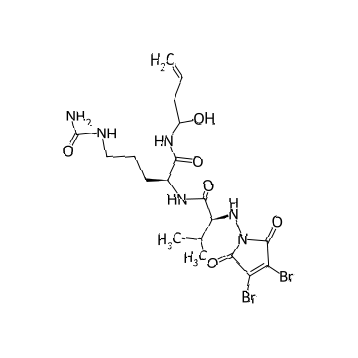 C=CCC(O)NC(=O)[C@H](CCCNC(N)=O)NC(=O)[C@@H](NN1C(=O)C(Br)=C(Br)C1=O)C(C)C